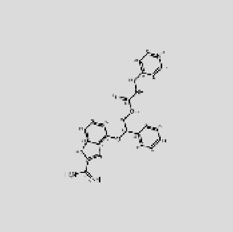 N=C(N)c1cc2c(OC(COC(=O)NCc3ccncc3)c3ccccc3)cccc2s1